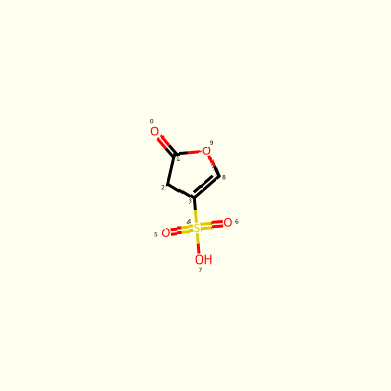 O=C1CC(S(=O)(=O)O)=CO1